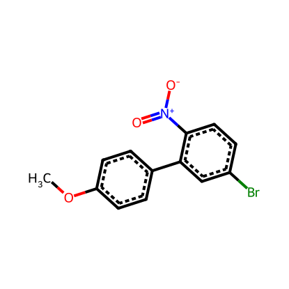 COc1ccc(-c2cc(Br)ccc2[N+](=O)[O-])cc1